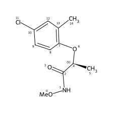 CONC(=O)[C@H](C)Oc1ccc(Cl)cc1C